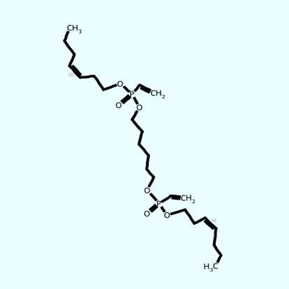 C=CP(=O)(OCC/C=C\CCC)OCCCCCCOP(=O)(C=C)OCC/C=C\CCC